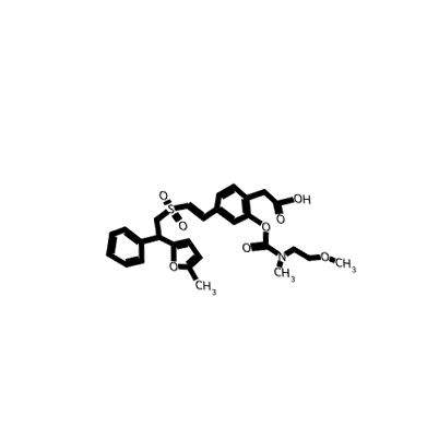 COCCN(C)C(=O)Oc1cc(C=CS(=O)(=O)CC(c2ccccc2)c2ccc(C)o2)ccc1CC(=O)O